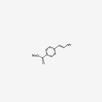 CCCC=Cc1ccc(C(=O)OC)cc1